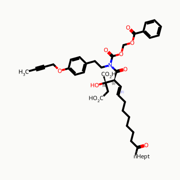 CC#CCOc1ccc(CCN(C(=O)OCOC(=O)c2ccccc2)C(=O)[C@@H](/C=C/CCCCCCC(=O)CCCCCCC)[C@@](O)(CC(=O)O)C(=O)O)cc1